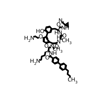 CCCCc1ccc(-c2ccc(C(=O)N[C@@H](CCCCN)C(=O)N(C)[C@@H]3C(=O)N[C@@H](C)C(=O)N[C@H](C(=O)NC4(C#N)CC4)Cc4ccc(O)c(c4)-c4cc3ccc4OCCN)cc2)cc1